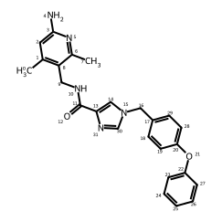 Cc1cc(N)nc(C)c1CNC(=O)c1cn(Cc2ccc(Oc3ccccc3)cc2)cn1